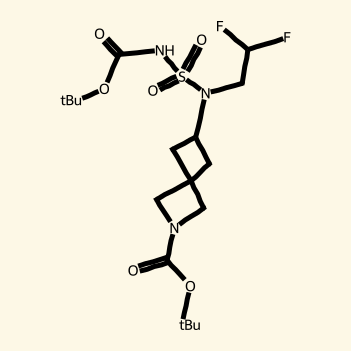 CC(C)(C)OC(=O)NS(=O)(=O)N(CC(F)F)C1CC2(C1)CN(C(=O)OC(C)(C)C)C2